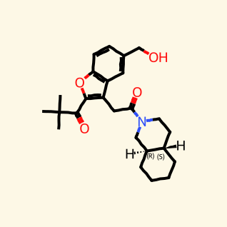 CC(C)(C)C(=O)c1oc2ccc(CO)cc2c1CC(=O)N1CC[C@@H]2CCCC[C@H]2C1